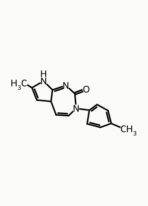 CC1=CC2C=CN(c3ccc(C)cc3)C(=O)N=C2N1